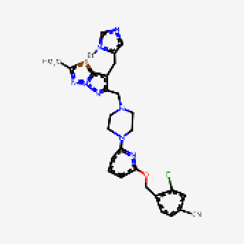 CCn1cncc1Cc1c(CN2CCN(c3cccc(OCc4ccc(C#N)cc4F)n3)CC2)nn2nc(C(=O)O)sc12